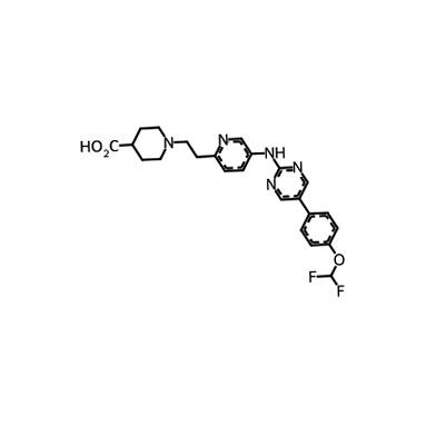 O=C(O)C1CCN(CCc2ccc(Nc3ncc(-c4ccc(OC(F)F)cc4)cn3)cn2)CC1